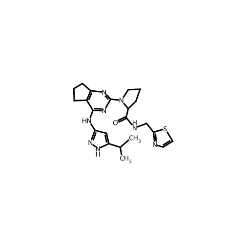 CC(C)c1cc(Nc2nc(N3CCCC3C(=O)NCc3nccs3)nc3c2CCC3)n[nH]1